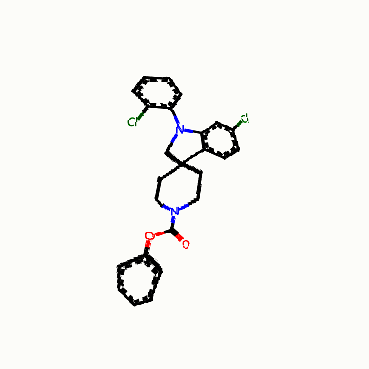 O=C(Oc1ccccc1)N1CCC2(CC1)CN(c1ccccc1Cl)c1cc(Cl)ccc12